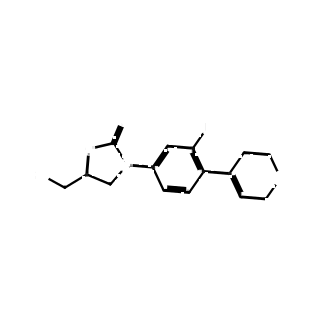 O=C1OC(CO)CN1c1ccc(C2=CCOCC2)c(F)c1